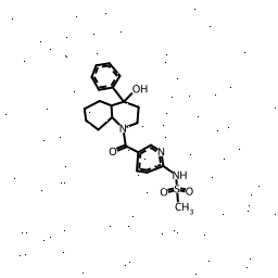 CS(=O)(=O)Nc1ccc(C(=O)N2CCC(O)(c3ccccc3)C3CCCCC32)cn1